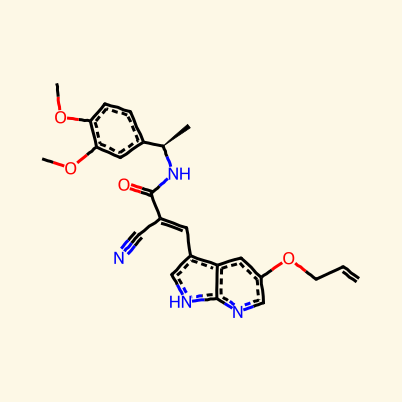 C=CCOc1cnc2[nH]cc(/C=C(\C#N)C(=O)N[C@H](C)c3ccc(OC)c(OC)c3)c2c1